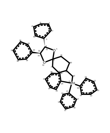 c1ccc([C@@H]2OC3(CCC(C[PH](c4ccccc4)(c4ccccc4)c4ccccc4)CC3)O[C@H]2c2ccccc2)cc1